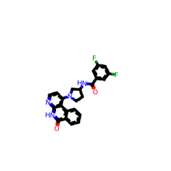 O=C(NC1CCN(c2ccnc3[nH]c(=O)c4ccccc4c23)C1)c1cc(F)cc(F)c1